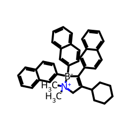 C[N+]1(C)CC(C2CCCCC2)=C(c2ccc3ccccc3c2)[B-]1(c1ccc2ccccc2c1)c1ccc2ccccc2c1